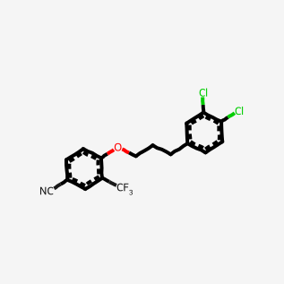 N#Cc1ccc(OCCCc2ccc(Cl)c(Cl)c2)c(C(F)(F)F)c1